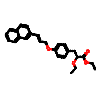 CCOC(=O)[C@H](Cc1ccc(OCC=Cc2ccc3ccccc3c2)cc1)OCC